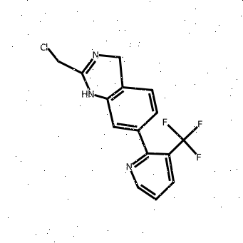 FC(F)(F)c1cccnc1-c1ccc2c(c1)NC(CCl)=N[CH]2